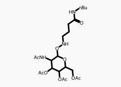 CCCCNC(=O)CCCNOC1OC(COC(C)=O)C(OC(C)=O)C(OC(C)=O)C1NC(C)=O